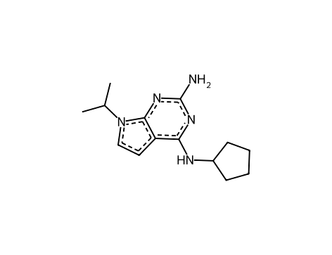 CC(C)n1ccc2c(NC3CCCC3)nc(N)nc21